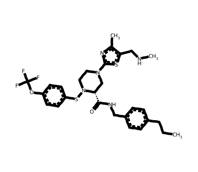 CCCc1ccc(CNC(=O)[C@H]2CN(c3nc(C)c(CNC)s3)CCN2Sc2ccc(OC(F)(F)F)cc2)cc1